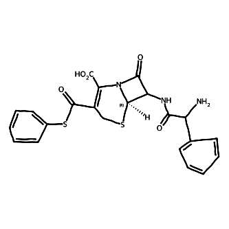 NC(C(=O)NC1C(=O)N2C(C(=O)O)=C(C(=O)Sc3ccccc3)CS[C@H]12)c1ccccc1